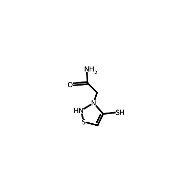 NC(=O)CN1NSC=C1S